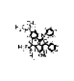 CCN(CC)c1ccc2c(c1)OC(C(C)C)C(=O)N(C(Cc1ccccc1)C1=COCO1)C2C(=O)Nc1ccccc1